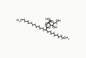 CCCCCCCCCCCCCC(CCCCCCCCCC)C(=O)O[C@H](C(=O)CO)[C@H](O)[C@H](O)CO